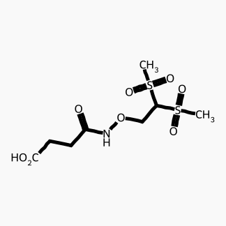 CS(=O)(=O)C(CONC(=O)CCC(=O)O)S(C)(=O)=O